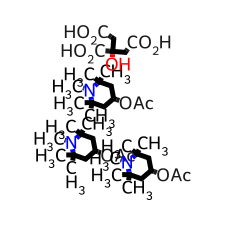 CC(=O)OC1CC(C)(C)N(C)C(C)(C)C1.CC(=O)OC1CC(C)(C)N(C)C(C)(C)C1.CC(=O)OC1CC(C)(C)N(C)C(C)(C)C1.O=C(O)CC(O)(CC(=O)O)C(=O)O